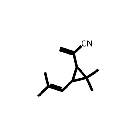 C=C(C#N)C1C(C=C(C)C)C1(C)C